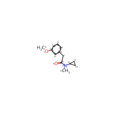 COc1cccc(CC(=O)N(C)C2CC2)c1